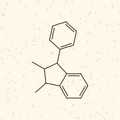 CC1c2ccccc2C(c2ccccc2)C1C